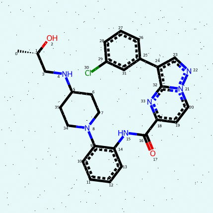 C[C@H](O)CNC1CCN(c2ccccc2NC(=O)c2ccn3ncc(-c4cccc(Cl)c4)c3n2)CC1